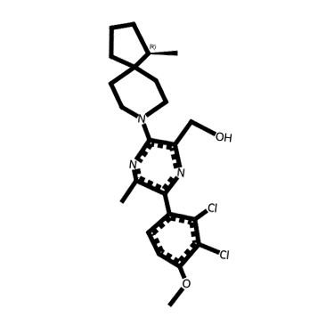 COc1ccc(-c2nc(CO)c(N3CCC4(CCC[C@H]4C)CC3)nc2C)c(Cl)c1Cl